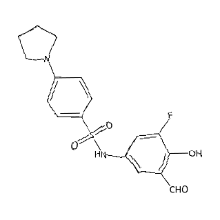 O=Cc1cc(NS(=O)(=O)c2ccc(N3CCCC3)cc2)cc(F)c1O